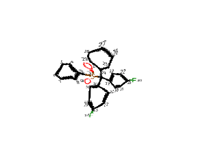 O=S(=O)(c1ccccc1)C(c1ccc(F)cc1)(c1ccc(F)cc1)C1CCCCC1